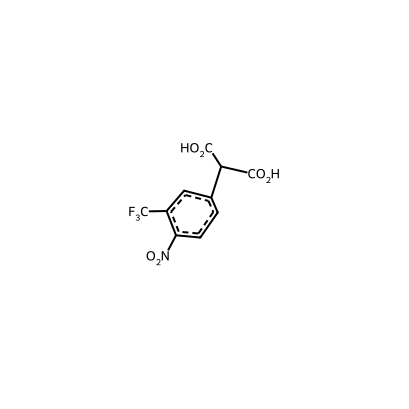 O=C(O)C(C(=O)O)c1ccc([N+](=O)[O-])c(C(F)(F)F)c1